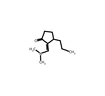 CCCC1CCC(=O)C1=CN(C)C